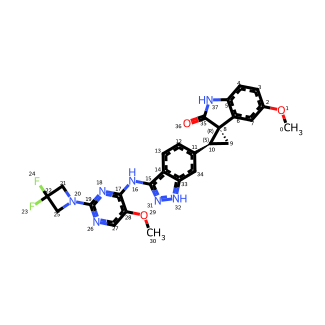 COc1ccc2c(c1)[C@]1(C[C@H]1c1ccc3c(Nc4nc(N5CC(F)(F)C5)ncc4OC)n[nH]c3c1)C(=O)N2